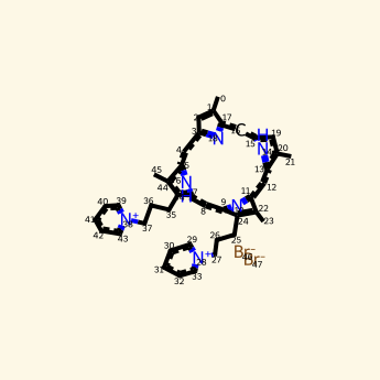 CC1=Cc2cc3[nH]c(cc4nc(cc5[nH]c(cc1n2)cc5C)C(C)=C4CCC[n+]1ccccc1)c(CCC[n+]1ccccc1)c3C.[Br-].[Br-]